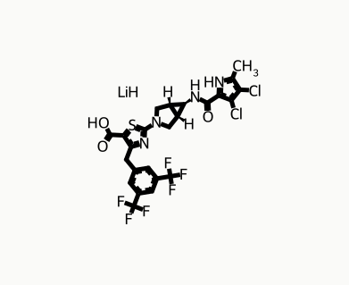 Cc1[nH]c(C(=O)N[C@H]2[C@@H]3CN(c4nc(Cc5cc(C(F)(F)F)cc(C(F)(F)F)c5)c(C(=O)O)s4)C[C@@H]32)c(Cl)c1Cl.[LiH]